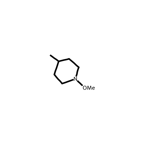 CON1CCC(C)CC1